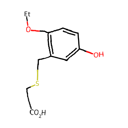 CCOc1ccc(O)cc1CSCC(=O)O